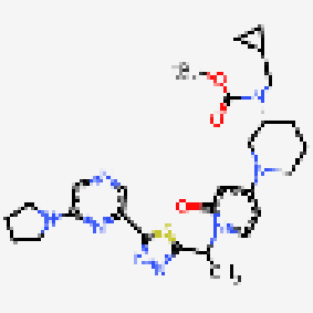 CC(c1nnc(-c2cncc(N3CCCC3)n2)s1)n1ccc(N2CCC[C@@H](N(CC3CC3)C(=O)OC(C)(C)C)C2)cc1=O